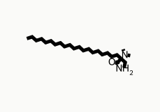 CCCCCCCCCCCCCCCCCCCCC(CC)(C(N)=O)N(C)C